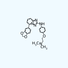 CN(C)CCOc1ccc(Nc2nc3cccc(-c4ccc5c(c4)OCO5)n3n2)cc1